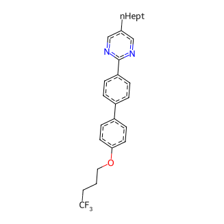 CCCCCCCc1cnc(-c2ccc(-c3ccc(OCCCC(F)(F)F)cc3)cc2)nc1